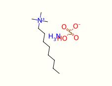 CCCCCCCC[N+](C)(C)C.N.O=S(=O)([O-])O